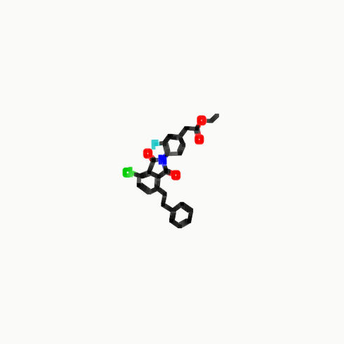 CCOC(=O)Cc1ccc(N2C(=O)c3c(Cl)ccc(CCc4ccccc4)c3C2=O)c(F)c1